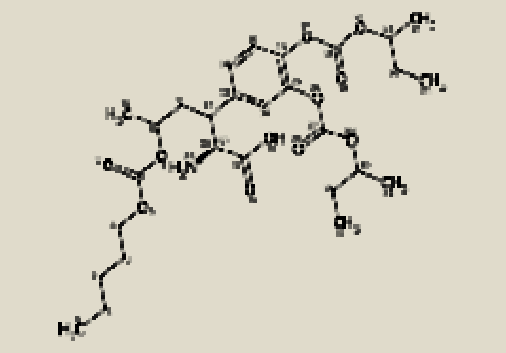 CCCCCOC(=O)OC(C)CC(c1ccc(OC(=O)OC(C)CC)c(OC(=O)OC(C)CC)c1)[C@H](N)C(=O)O